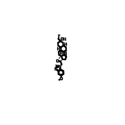 COc1ccc2c(c1)nnn2CC(=O)[C@H]1CC[C@H]2[C@@H]3CC[C@H]4C[C@@](O)(CF)CC[C@@H]4[C@H]3CC[C@]12C